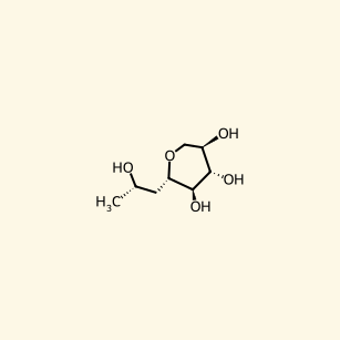 C[C@H](O)C[C@@H]1OC[C@@H](O)[C@H](O)[C@H]1O